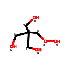 OCC(CO)(CO)COO